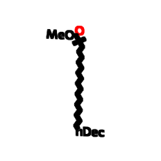 CCCCCCCCCCCCCCCCCCCCCCCCCCC(C)(C)C(=O)OC